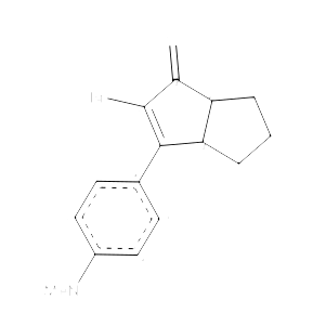 CNc1ccc(C2=C(Br)C(=O)C3CCCC23)cc1